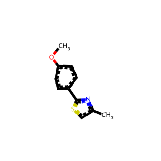 COc1ccc(-c2nc(C)cs2)cc1